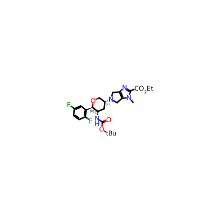 CCOC(=O)c1nc2c(n1C)CN([C@H]1CO[C@H](c3cc(F)ccc3F)[C@@H](NC(=O)OC(C)(C)C)C1)C2